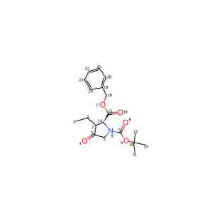 CCC1C(=O)CN(C(=O)OC(C)(C)C)[C@@H]1C(=O)OCc1ccccc1